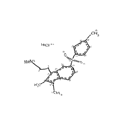 CNCCc1c(C)n(C)c2ccc(S(=O)(=O)c3ccc(C)cc3)cc12.Cl